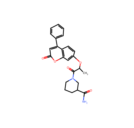 CC(Oc1ccc2c(-c3ccccc3)cc(=O)oc2c1)C(=O)N1CCCC(C(N)=O)C1